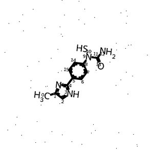 Cc1c[nH]c(-c2ccc(N(S)C(N)=O)cc2)n1